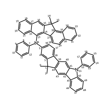 CC1(C)c2cc(N(c3ccccc3)c3c4c(cc5ccccc35)C(C)(C)c3c-4ccc4ccccc34)ccc2-c2cc3c(cc21)c1ccccc1n3-c1ccccc1